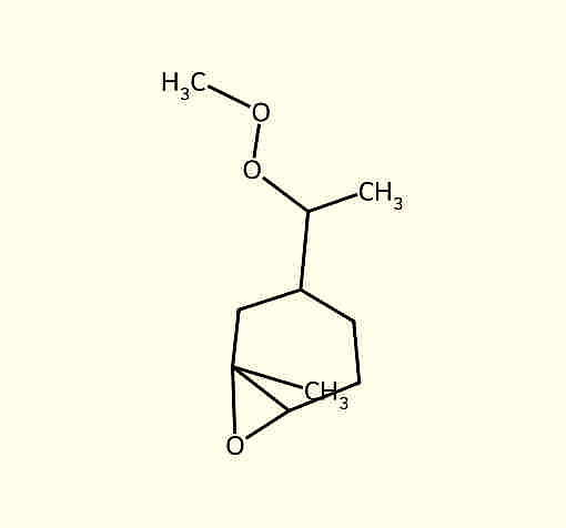 COOC(C)C1CCC2OC2(C)C1